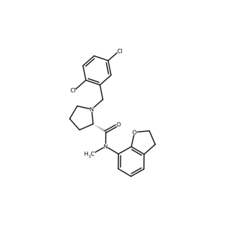 CN(C(=O)[C@@H]1CCCN1Cc1cc(Cl)ccc1Cl)c1cccc2c1OCC2